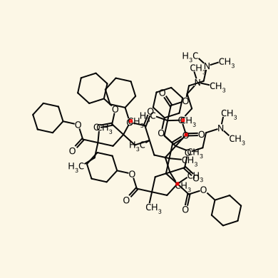 CCC(C)(CC(C)(CC(C)(CC(C)(CC(C)(CC(C)(CC(C)(CC(C)(CC(C)(C)C(=O)OCCN(C)C)C(=O)OCCN(C)C)C(=O)OCCN(C)C)C(=O)OC1CCCCC1)C(=O)OC1CCCCC1)C(=O)OC1CCCCC1)C(=O)OC1CCCCC1)C(=O)OC1CCCCC1)C(=O)OC1CCCCC1